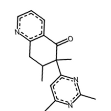 Cc1cc(C2(C)C(=O)c3cccnc3CC2C)nc(C)n1